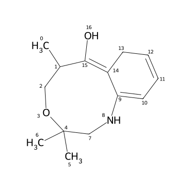 CC1COC(C)(C)CNC2=CC=CCC2=C1O